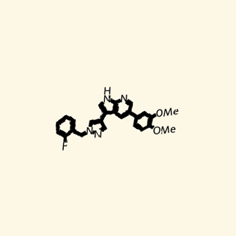 COc1ccc(-c2cnc3[nH]cc(-c4cnn(Cc5ccccc5F)c4)c3c2)cc1OC